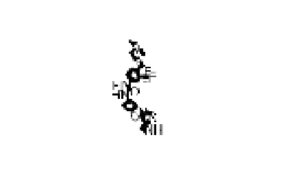 CCN1CCN(Cc2ccc(NC(=O)Nc3ccc(Oc4ncnc5[nH]ccc45)cc3)cc2C(F)(F)F)CC1